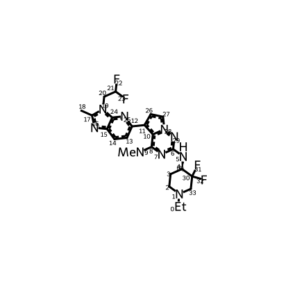 CCN1CC[C@@H](Nc2nc(NC)c3c(-c4ccc5nc(C)n(CC(F)F)c5n4)ccn3n2)C(F)(F)C1